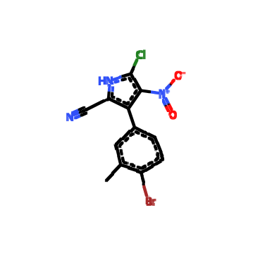 Cc1cc(-c2c(C#N)[nH]c(Cl)c2[N+](=O)[O-])ccc1Br